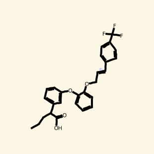 CCCC(C(=O)O)c1cccc(Oc2ccccc2OC/C=C/c2ccc(C(F)(F)F)cc2)c1